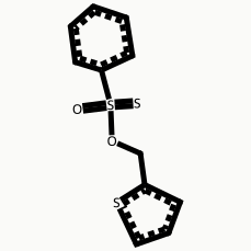 O=S(=S)(OCc1cccs1)c1ccccc1